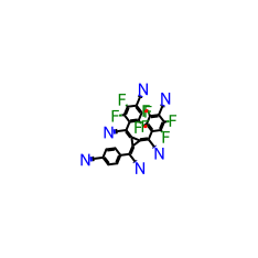 N#CC(=C1C(=C(\C#N)c2c(F)c(F)c(C#N)c(F)c2F)/C1=C(/C#N)c1c(F)c(F)c(C#N)c(F)c1F)c1ccc(C#N)cc1